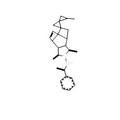 C=C(NN1C(=C)C2C(C1=C)C1CC3(CC34CC4C)C13C=CC23)c1ccccc1